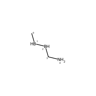 CBBCN